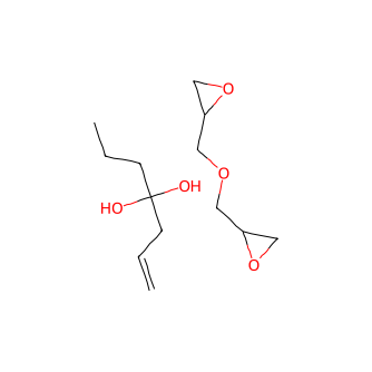 C(OCC1CO1)C1CO1.C=CCC(O)(O)CCC